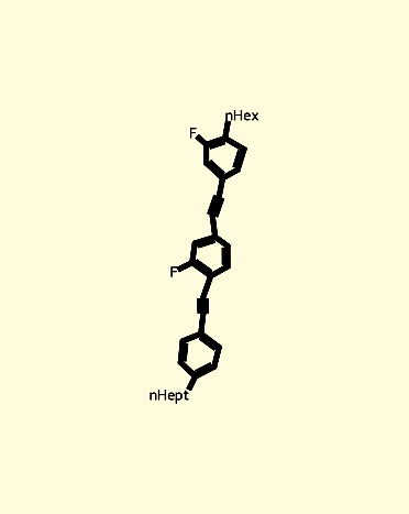 CCCCCCCc1ccc(C#Cc2ccc(C#Cc3ccc(CCCCCC)c(F)c3)cc2F)cc1